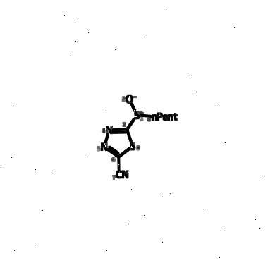 CCCCC[S+]([O-])c1nnc(C#N)s1